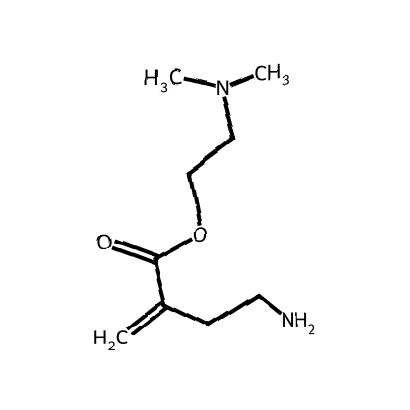 C=C(CCN)C(=O)OCCN(C)C